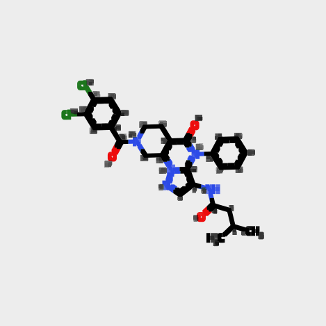 CC(C)CC(=O)Nc1cnn2c3c(c(=O)n(-c4ccccc4)c12)CCN(C(=O)c1ccc(Cl)c(Cl)c1)C3